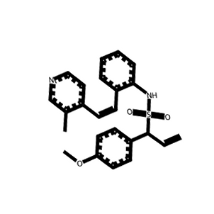 C=CC(c1ccc(OC)cc1)S(=O)(=O)Nc1ccccc1C=Cc1ccncc1C